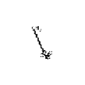 CCCCCCCCCCCCCCOC(=O)c1ccsc1C=O